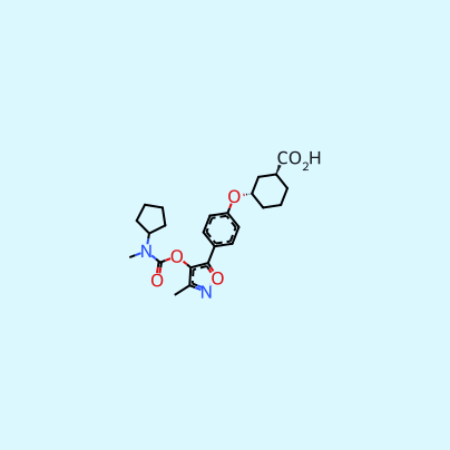 Cc1noc(-c2ccc(O[C@H]3CCC[C@H](C(=O)O)C3)cc2)c1OC(=O)N(C)C1CCCC1